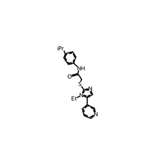 CCn1c(-c2cccnc2)cnc1SCC(=O)Nc1ccc(C(C)C)cc1